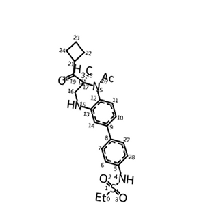 CCS(=O)(=O)Nc1ccc(-c2ccc3c(c2)NC[C@@](C)(C(=O)C2CCC2)N3C(C)=O)cc1